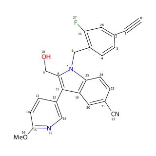 C#Cc1ccc(Cn2c(CO)c(-c3ccc(OC)nc3)c3cc(C#N)ccc32)c(F)c1